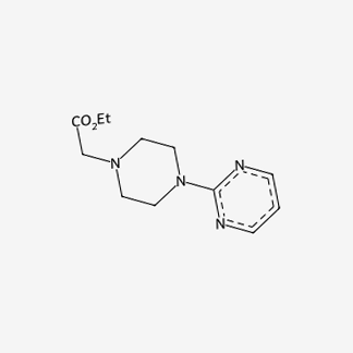 CCOC(=O)CN1CCN(c2ncccn2)CC1